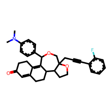 CN(C)c1ccc(C2OCC3(CC#Cc4ccccc4F)OCCC3C3CCC4=CC(=O)CCC4=C23)cc1